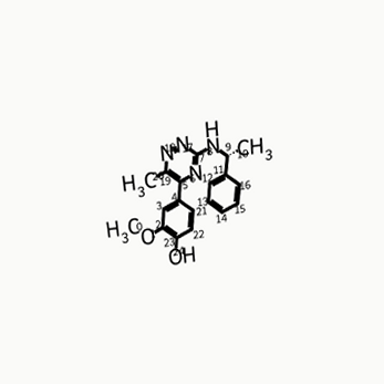 COc1cc(-c2nc(N[C@H](C)c3ccccc3)nnc2C)ccc1O